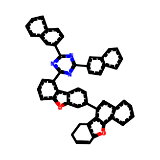 C1=Cc2oc3c(c(-c4ccc5c(c4)oc4cccc(-c6nc(-c7ccc8ccccc8c7)nc(-c7ccc8ccccc8c7)n6)c45)cc4ccccc43)c2CC1